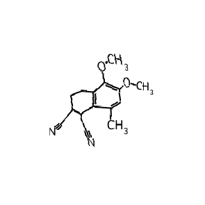 COc1cc(C)c2c(c1OC)CCC(C#N)C2C#N